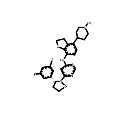 CN1CCC(c2ccc(Nc3cc(N4OCC[C@@H]4c4cc(F)cc(F)c4)ncn3)c3c2CCO3)CC1